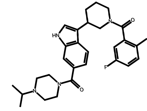 Cc1ccc(F)cc1C(=O)N1CCCC(c2c[nH]c3cc(C(=O)N4CCN(C(C)C)CC4)ccc23)C1